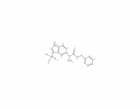 CC(C(=O)OCc1ccccc1)c1cnc2[nH]cc(C(F)(F)F)c2n1